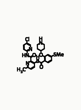 CSc1ccc(C(=O)Bc2ccc(C)nc2C(=O)Nc2ccc(Cl)cn2)c(OC2CCNCC2)c1